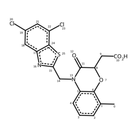 Cc1cccc2c1OC(CC(=O)O)C(=O)N2Cc1nc2cc(Cl)cc(Cl)c2s1